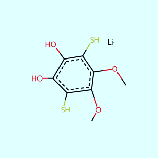 COc1c(S)c(O)c(O)c(S)c1OC.[Li]